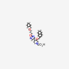 O=C(O)N1CCC(c2cnc(OCCCOCc3ccccc3)nc2)C(OCc2ccc3ccccc3c2)C1